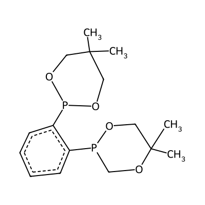 CC1(C)COP(c2ccccc2P2COC(C)(C)CO2)OC1